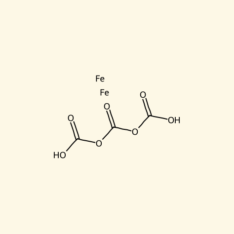 O=C(O)OC(=O)OC(=O)O.[Fe].[Fe]